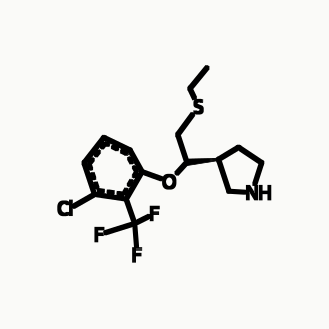 CCSCC(Oc1cccc(Cl)c1C(F)(F)F)[C@H]1CCNC1